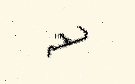 CCCCC/C=C\C/C=C\CCCCCCCCC(CCCCCCCC/C=C\C/C=C\CCCCC)OC(=O)CCCNC